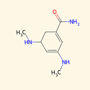 CNC1=CC(NC)CC(C(N)=O)=C1